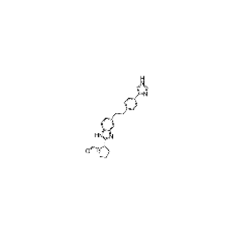 O=CN1CCC[C@H]1c1nc2cc(CCc3ccc(-c4c[nH]cn4)cc3)ccc2[nH]1